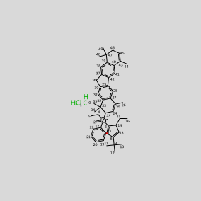 Cl.Cl.[CH2]=[Zr]([CH2]C)([C]1=CC(C(C)(C)C)=CC1CC)([c]1ccccc1)[CH]1C=C(C)c2cc3c(cc2C1(C)C)Cc1cc2c(cc1-3)C(C)=CCC2(C)C